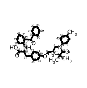 Cc1ccc(N(CCCOc2ccc(CC(Nc3ccccc3C(=O)c3ccccc3)C(=O)O)cc2)C(=O)C(C)(C)C)cc1